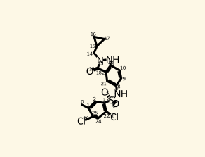 Cc1cc(S(=O)(=O)Nc2ccc3[nH]n(CC4CC4)c(=O)c3c2)c(Cl)cc1Cl